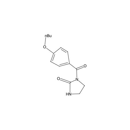 CCCCOc1ccc(C(=O)N2CCNC2=O)cc1